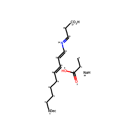 CCC(=O)O.CCCCCCCCCCCCCCC=CC=CN=CCC(=O)O.[NaH]